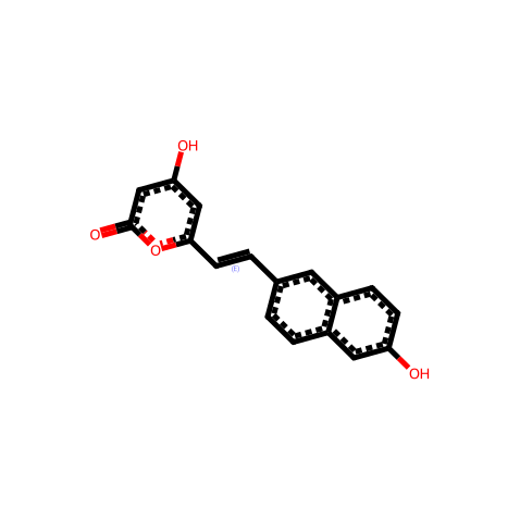 O=c1cc(O)cc(/C=C/c2ccc3cc(O)ccc3c2)o1